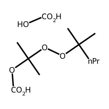 CCCC(C)(C)OOC(C)(C)OC(=O)O.O=C(O)O